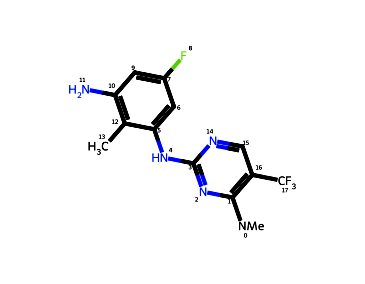 CNc1nc(Nc2cc(F)cc(N)c2C)ncc1C(F)(F)F